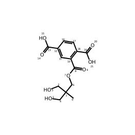 CC(CO)(CO)COC(=O)c1cc(C(=O)O)ccc1C(=O)O